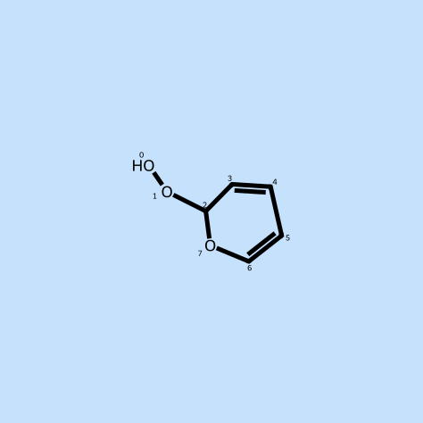 OOC1C=CC=CO1